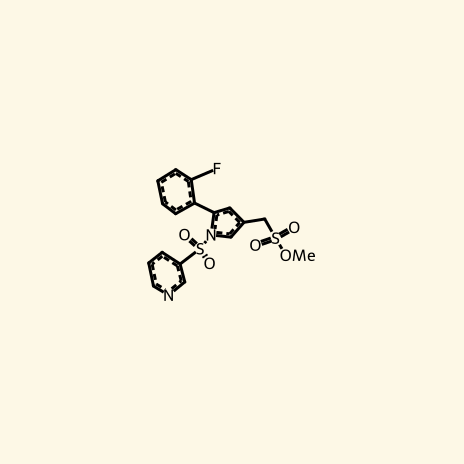 COS(=O)(=O)Cc1cc(-c2ccccc2F)n(S(=O)(=O)c2cccnc2)c1